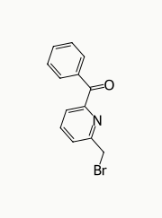 O=C(c1ccccc1)c1cccc(CBr)n1